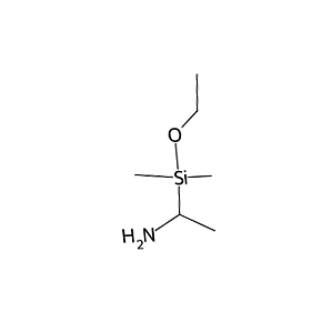 CCO[Si](C)(C)C(C)N